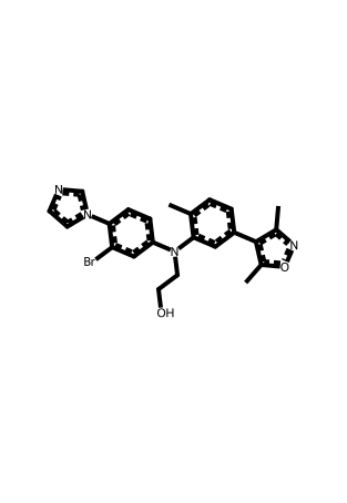 Cc1ccc(-c2c(C)noc2C)cc1N(CCO)c1ccc(-n2ccnc2)c(Br)c1